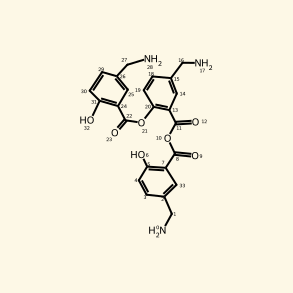 NCc1ccc(O)c(C(=O)OC(=O)c2cc(CN)ccc2OC(=O)c2cc(CN)ccc2O)c1